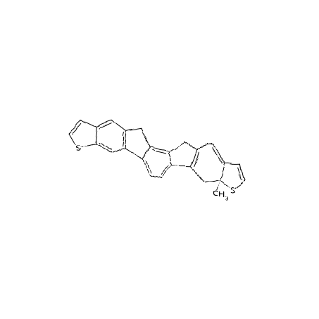 CC12CC3=C(C=C1C=CS2)Cc1c3ccc2c1Cc1cc3ccsc3cc1-2